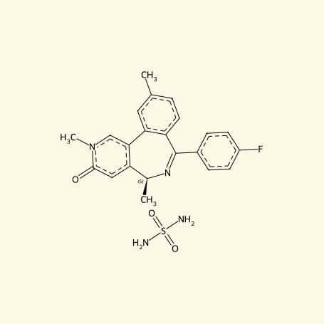 Cc1ccc2c(c1)-c1cn(C)c(=O)cc1[C@H](C)N=C2c1ccc(F)cc1.NS(N)(=O)=O